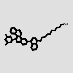 Cc1cc(C)cc(-c2cc3ccc(-c4ccc(CCCCCCCCCCS)c5ccccc45)cc3c3ccc4ccccc4c23)c1